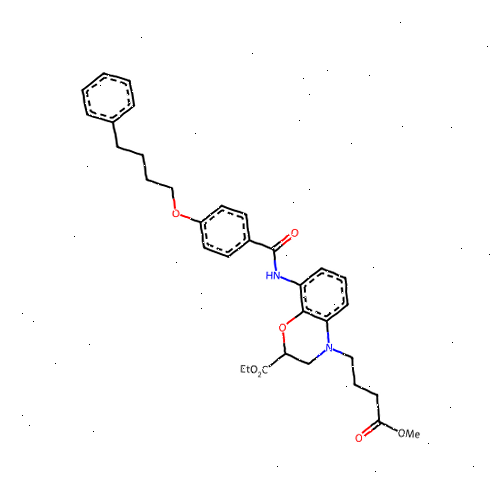 CCOC(=O)C1CN(CCCC(=O)OC)c2cccc(NC(=O)c3ccc(OCCCCc4ccccc4)cc3)c2O1